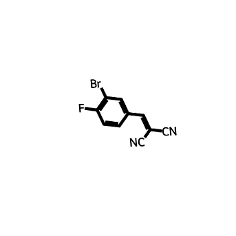 N#CC(C#N)=Cc1ccc(F)c(Br)c1